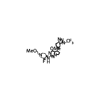 COCCN1CC[C@H](Nc2nc(OC)c3c(-c4ccc5nnn(CC(F)(F)F)c5c4)ccn3n2)[C@@H](F)C1